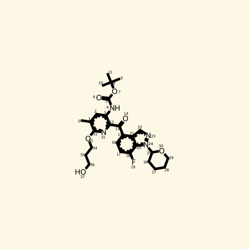 Cc1cc(NC(=O)OC(C)(C)C)c(C(=O)c2ccc(F)c3c2cnn3C2CCCCO2)nc1OCCCO